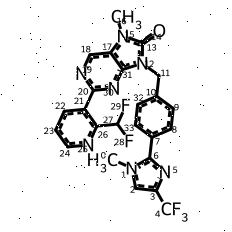 Cn1cc(C(F)(F)F)nc1-c1ccc(Cn2c(=O)n(C)c3cnc(-c4cccnc4C(F)F)nc32)cc1